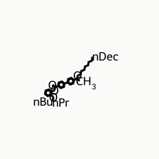 CCCCCCCCCCCCCCCCCCOC(C)c1ccc(-c2ccc(C(=O)Oc3ccccc3OC(CCC)CCCC)cc2)cc1